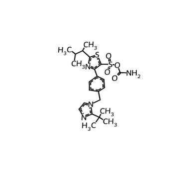 CC(C)C(C)c1nc(-c2ccc(Cn3ccnc3C(C)(C)C)cc2)c(S(=O)(=O)OC(N)=O)s1